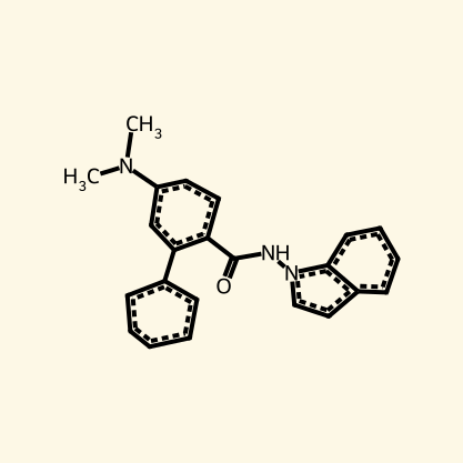 CN(C)c1ccc(C(=O)Nn2ccc3ccccc32)c(-c2ccccc2)c1